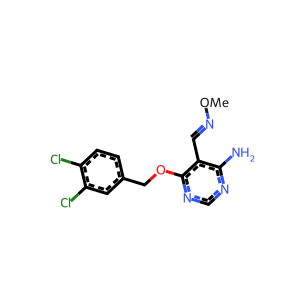 CON=Cc1c(N)ncnc1OCc1ccc(Cl)c(Cl)c1